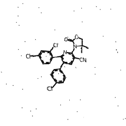 CC1(C)COC(=O)N1c1nc(-c2ccc(Cl)cc2Cl)c(-c2ccc(Cl)cc2)cc1C#N